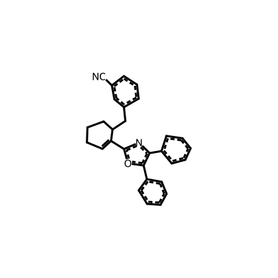 N#Cc1cccc(CC2CCCC=C2c2nc(-c3ccccc3)c(-c3ccccc3)o2)c1